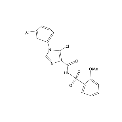 COc1ccccc1S(=O)(=O)NC(=O)c1ncn(-c2cccc(C(F)(F)F)c2)c1Cl